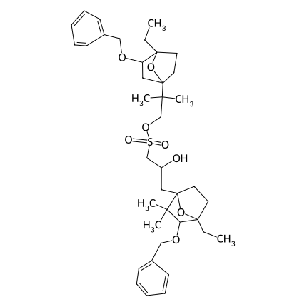 CCC12CCC(C(C)(C)COS(=O)(=O)CC(O)CC34CCC(CC)(O3)C(OCc3ccccc3)C4(C)C)(CC1OCc1ccccc1)O2